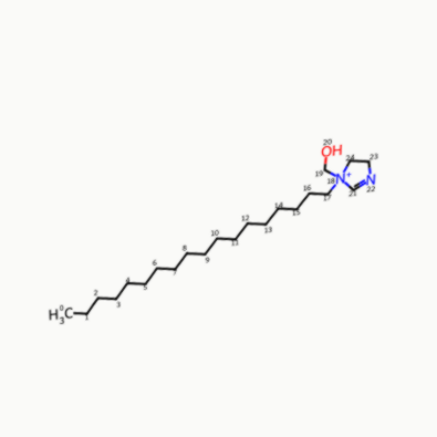 CCCCCCCCCCCCCCCCCC[N+]1(CO)C=NCC1